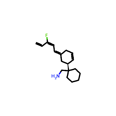 C=C/C(F)=C\C=C1/CC=C[C@@H](C2(CN)CCCCC2)C1